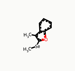 C[Se]c1oc2ccccc2c1C